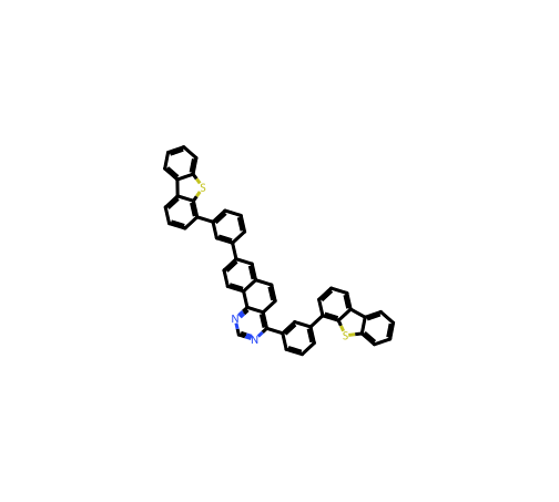 c1cc(-c2ccc3c(ccc4c(-c5cccc(-c6cccc7c6sc6ccccc67)c5)ncnc43)c2)cc(-c2cccc3c2sc2ccccc23)c1